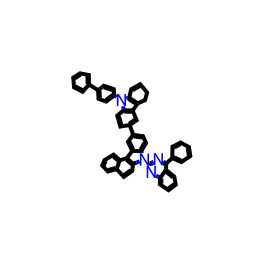 C1=Cc2c(c3cc(-c4ccc5c(c4)c4c6ccccc6ccc4n5-c4nc(-c5ccccc5)c5ccccc5n4)ccc3n2-c2ccc(-c3ccccc3)cc2)CC1